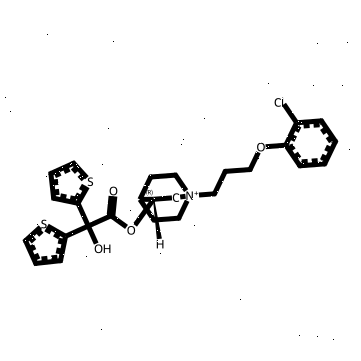 O=C(O[C@H]1C[N+]2(CCCOc3ccccc3Cl)CCC1CC2)C(O)(c1cccs1)c1cccs1